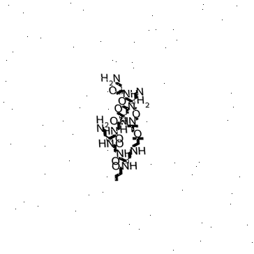 CCCC(=O)N[C@@H](CCNCCC(C)(C)OCC(C)(C)NC=O)C(=O)NCC(=O)N[C@@H](CCN)C(=O)NCC(=O)N[C@H](C=O)CC(C)N(C)[C@@H](CCN)C(=O)N[C@H](C=O)CCN